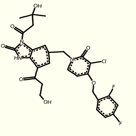 CC(C)(O)CC(=O)n1c(=O)[nH]c2c(C(=O)CCO)cc(Cn3ccc(OCc4ccc(F)cc4F)c(Cl)c3=O)cc21